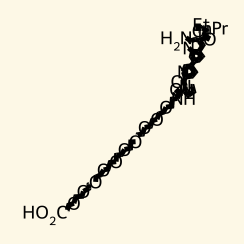 CCCN(OCC)C(=O)C1=Cc2ccc(-c3ccc(C(=O)N4CCC[C@@H]4C(=O)NCCOCCOCCOCCOCCOCCOCCOCCOCCOCCOCCC(=O)O)nc3)cc2N=C(N)C1